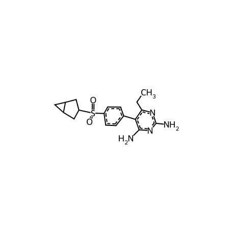 CCc1nc(N)nc(N)c1-c1ccc(S(=O)(=O)C2CC3CC3C2)cc1